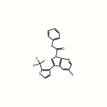 O=C(Cc1ccccc1)n1cc(-c2ccsc2C(F)(F)F)c2cc(F)cnc21